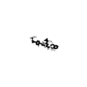 C[C@@H]1c2ccccc2CCN1C(=O)c1cc(C2(C)CC2)n2nc(-c3ccc(C4C[C@H]4C(=O)O)cc3F)cc2n1